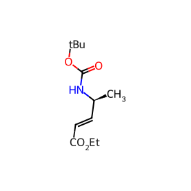 CCOC(=O)/C=C/[C@H](C)NC(=O)OC(C)(C)C